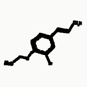 COCOc1ccc(/C=C/C(=O)O)cc1Br